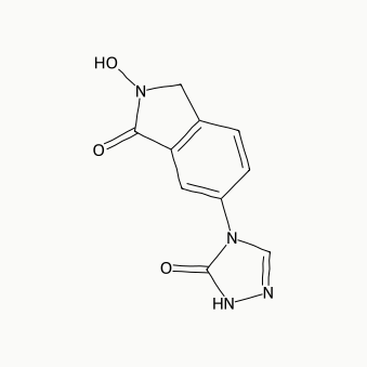 O=C1c2cc(-n3cn[nH]c3=O)ccc2CN1O